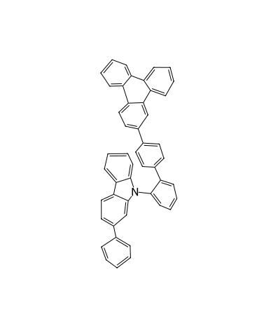 c1ccc(-c2ccc3c4ccccc4n(-c4ccccc4-c4ccc(-c5ccc6c7ccccc7c7ccccc7c6c5)cc4)c3c2)cc1